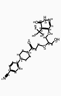 N#Cc1ccc(N2CCN(C(=O)CCOC(CO)COc3cn[nH]c(=O)c3C(F)(F)F)CC2)nc1